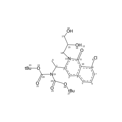 CC(c1cc2cccc(Cl)c2c(=O)n1CC(O)CO)N(C(=O)OC(C)(C)C)C(=O)OC(C)(C)C